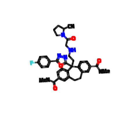 CNC(=O)c1ccc2c(c1)CCc1cc(C(=O)NC)ccc1C2(CCNCC(=O)N1CCCC1C#N)c1nnc(-c2ccc(F)cc2)o1